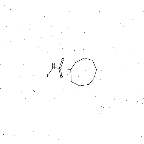 O=S(=O)(NI)C1CCCCCCCC1